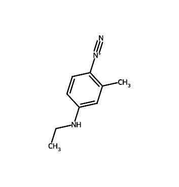 CCNc1ccc([N+]#N)c(C)c1